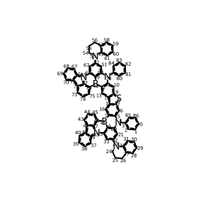 c1ccc(N2c3cc4sc5cc6c(cc5c4cc3B3c4c2cc(N2CCCc5ccccc52)cc4-n2c4ccccc4c4cccc3c42)B2c3c(cc(N4CCCc5ccccc54)cc3-n3c4ccccc4c4cccc2c43)N6c2ccccc2)cc1